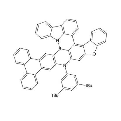 CC(C)(C)c1cc(N2c3cc4c5ccccc5c5ccccc5c4cc3B3c4c2cc2oc5ccccc5c2c4-c2cccc4c5ccccc5n3c24)cc(C(C)(C)C)c1